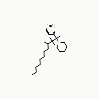 CCCCCCCCC(C)C(C)(C)C(C)(c1ccnnn1)N1CCCCC1